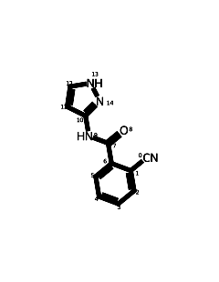 N#Cc1ccccc1C(=O)Nc1cc[nH]n1